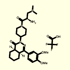 COc1ccc(C2=NN(C3CCN(C(=O)[C@H](N)CN(C)C)CC3)C(=O)[C@@H]3CCCC[C@H]23)cc1OC.O=C(O)C(F)(F)F